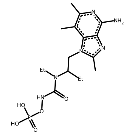 CCC(Cn1c(C)nc2c(N)nc(C)c(C)c21)N(CC)C(=O)NOP(=O)(O)O